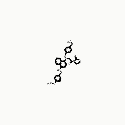 COc1ccc(SNc2ccc(N(CC(=O)N3CCSC3=O)Sc3ccc(OC)cc3)c3ccccc23)cc1